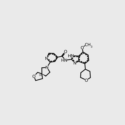 COc1ccc(C2CCOCC2)c2nc(NC(=O)c3ccnc(N4CC[C@]5(CCOC5)C4)c3)[nH]c12